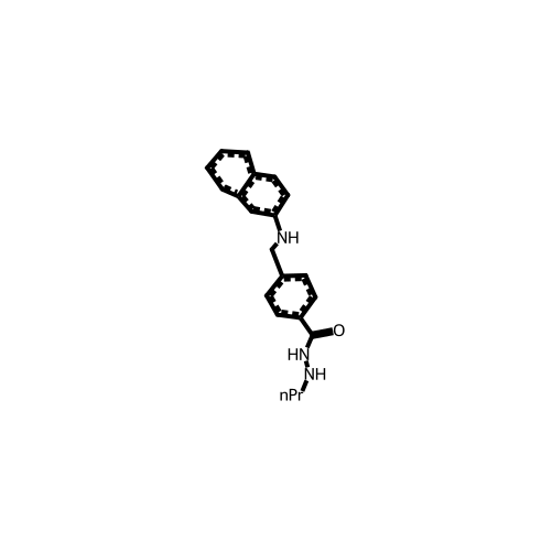 CCCNNC(=O)c1ccc(CNc2ccc3ccccc3c2)cc1